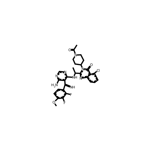 COc1ccc(C(=N)c2c(N)ncnc2NC(C)c2nc3cccc(Cl)c3c(=O)n2C2CCN(C(C)=O)CC2)c(F)c1F